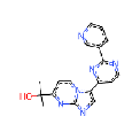 CC(C)(O)c1ccn2c(-c3ccnc(-c4cccnc4)n3)cnc2n1